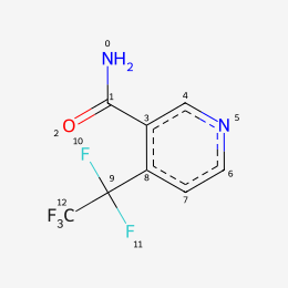 NC(=O)c1cnccc1C(F)(F)C(F)(F)F